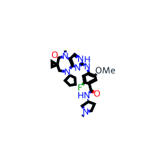 COc1cc(C(=O)N[C@@H]2CCN(C)C2)c(F)cc1Nc1ncc2c(n1)N(C1CCCC1)CC1(CC1)C(=O)N2C